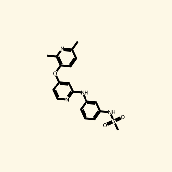 Cc1ccc(Oc2ccnc(Nc3cccc(NS(C)(=O)=O)c3)c2)c(C)n1